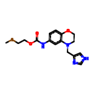 CSCCOC(=O)Nc1ccc2c(c1)N(Cc1c[nH]cn1)CCO2